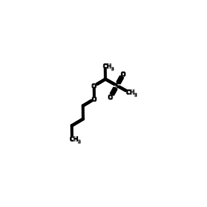 CCCCOOC(C)S(C)(=O)=O